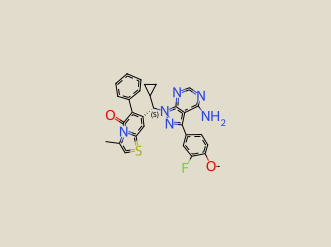 COc1ccc(-c2nn([C@H](c3cc4scc(C)n4c(=O)c3-c3ccccc3)C3CC3)c3ncnc(N)c23)cc1F